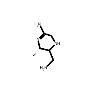 C[C@@H]1N=C(N)CNC1CN